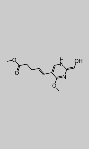 COC(=O)CC/C=C/C1=CN/C(=C\O)N=C1OC